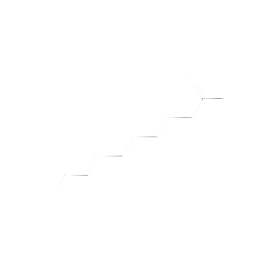 CCC=CCCCCCC(=O)O